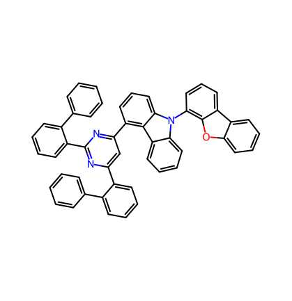 c1ccc(-c2ccccc2-c2cc(-c3cccc4c3c3ccccc3n4-c3cccc4c3oc3ccccc34)nc(-c3ccccc3-c3ccccc3)n2)cc1